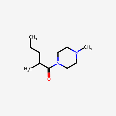 CCCC(C)C(=O)N1CCN(C)CC1